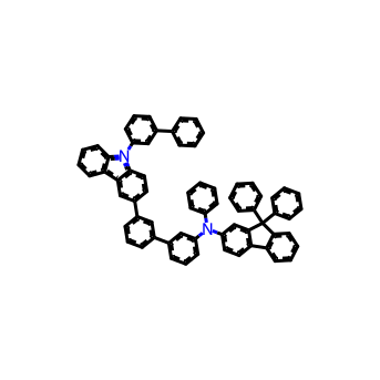 c1ccc(-c2cccc(-n3c4ccccc4c4cc(-c5cccc(-c6cccc(N(c7ccccc7)c7ccc8c(c7)C(c7ccccc7)(c7ccccc7)c7ccccc7-8)c6)c5)ccc43)c2)cc1